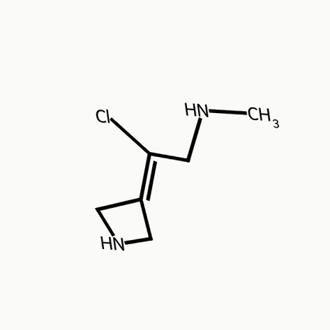 CNCC(Cl)=C1CNC1